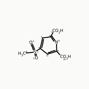 CS(=O)(=O)c1cc(C(=O)O)nc(C(=O)O)c1